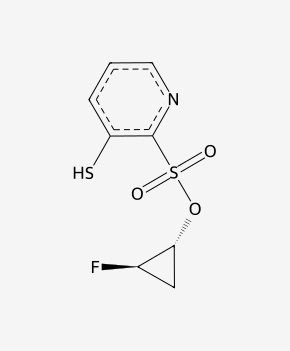 O=S(=O)(O[C@@H]1C[C@H]1F)c1ncccc1S